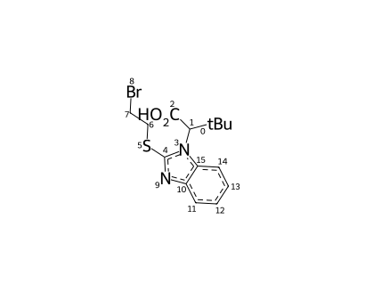 CC(C)(C)C(C(=O)O)n1c(SCCBr)nc2ccccc21